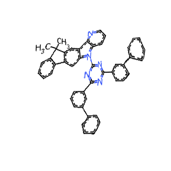 CC1(C)c2ccccc2-c2cc3c(cc21)c1ncccc1n3-c1nc(-c2cccc(-c3ccccc3)c2)nc(-c2cccc(-c3ccccc3)c2)n1